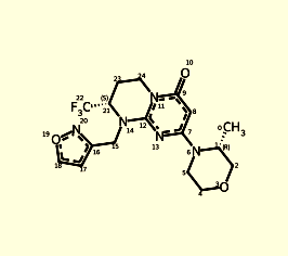 C[C@@H]1COCCN1c1cc(=O)n2c(n1)N(Cc1ccon1)[C@H](C(F)(F)F)CC2